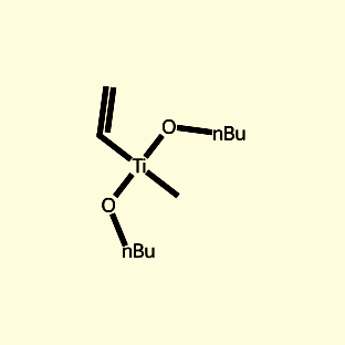 C=[CH][Ti]([CH3])([O]CCCC)[O]CCCC